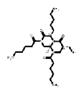 CC(C)C[C@@H]1CN(C(=O)CCCCN)[C@H]2CN(C(=O)CCCCN)C(=O)[C@@H](CCCCN)N2C1=O